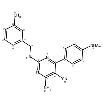 CC(=O)Nc1ccc(-c2nc(SCc3cc(C)ccn3)nc(N)c2C#N)cc1